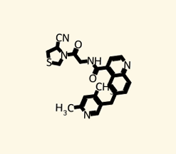 Cc1cc(C)c(Cc2ccc3nccc(C(=O)NCC(=O)N4CSCC4C#N)c3c2)cn1